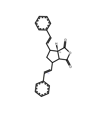 O=C1OC(=O)[C@H]2C(C=Cc3ccccc3)CC(/C=C/c3ccccc3)C12